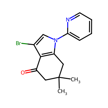 CC1(C)CC(=O)c2c(Br)cn(-c3ccccn3)c2C1